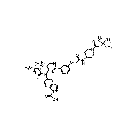 Cc1cnc(-c2cccc(OCC(=O)NC3CCN(C(=O)OC(C)(C)C)CC3)c2)nc1N(C(=O)OC(C)(C)C)c1ccc2c(cnn2C(=O)O)c1